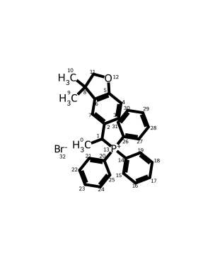 CC(c1ccc2c(c1)C(C)(C)CO2)[P+](c1ccccc1)(c1ccccc1)c1ccccc1.[Br-]